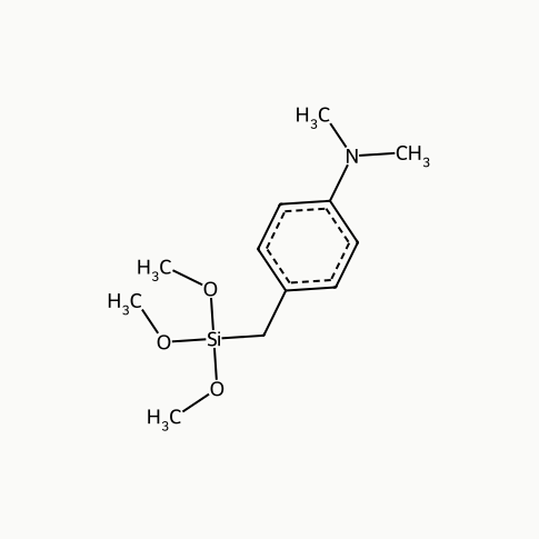 CO[Si](Cc1ccc(N(C)C)cc1)(OC)OC